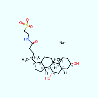 C[C@H](CCC(=O)NCCS(=O)(=O)[O-])[C@H]1CC[C@H]2[C@@H]3[C@@H](O)C[C@@H]4C[C@H](O)CC[C@]4(C)[C@H]3CC[C@]12C.[Na+]